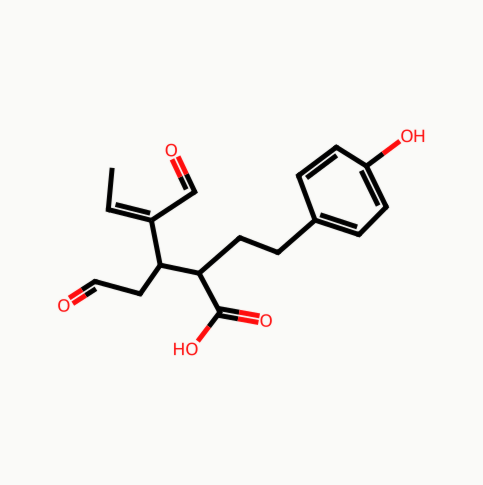 CC=C(C=O)C(CC=O)C(CCc1ccc(O)cc1)C(=O)O